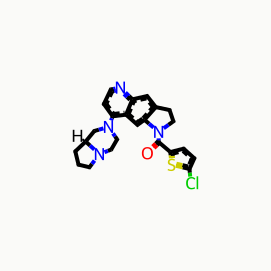 O=C(c1ccc(Cl)s1)N1CCc2cc3nccc(N4CCN5CCC[C@H]5C4)c3cc21